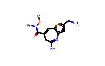 CCCN(OCC)C(=O)C1=Cc2sc(CN)cc2N=C(N)C1